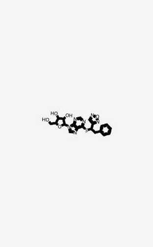 OCC1OC(n2cnc3c(SC(Cc4ccccc4)c4cnon4)ncnc32)C(O)C1O